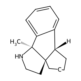 C[C@@]12NCC[C@@]13CCCC[C@H]3c1ccccc12